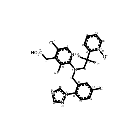 O=C(O)Cc1c(Cl)cnc(N(Cc2cc(Cl)ccc2-n2cncn2)CC(F)(F)c2cccc[n+]2[O-])c1F